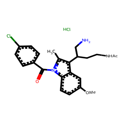 COc1ccc2c(c1)c(C(CN)CCNC(C)=O)c(C)n2C(=O)c1ccc(Cl)cc1.Cl